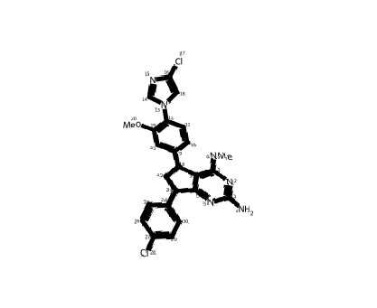 CNc1nc(N)nc2c1C(c1ccc(-n3cnc(Cl)c3)c(OC)c1)CC2c1ccc(Cl)cc1